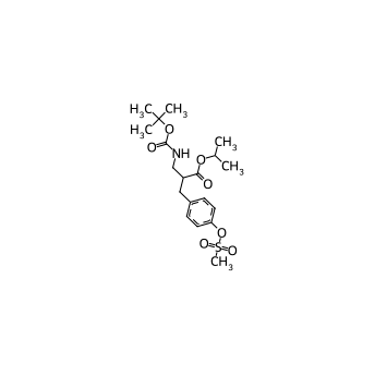 CC(C)OC(=O)C(CNC(=O)OC(C)(C)C)Cc1ccc(OS(C)(=O)=O)cc1